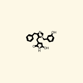 O=C1NC(O)C=C1Cc1c(Cc2ccccc2)ncn1Cc1cccc(O)c1